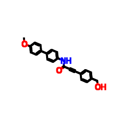 COc1ccc(-c2ccc(NC(=O)C#Cc3ccc(CO)cc3)cc2)cc1